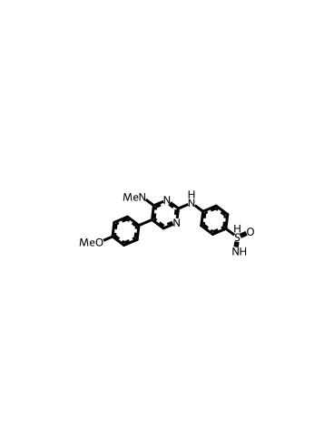 CNc1nc(Nc2ccc([SH](=N)=O)cc2)ncc1-c1ccc(OC)cc1